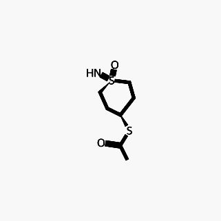 CC(=O)S[C@H]1CC[S@@](=N)(=O)CC1